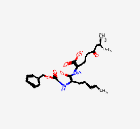 CCCCCC(NC(=O)OCc1ccccc1)C(=O)NC(CCC(=O)CC(C)C)C(=O)O